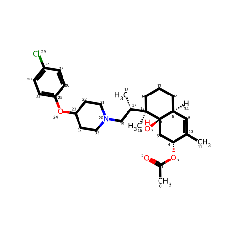 CC(=O)O[C@@H]1[C][C@@]2(O)[C@H](C=C1C)CCC[C@]2(C)[C@@H](C)CN1CCC(Oc2ccc(Cl)cc2)CC1